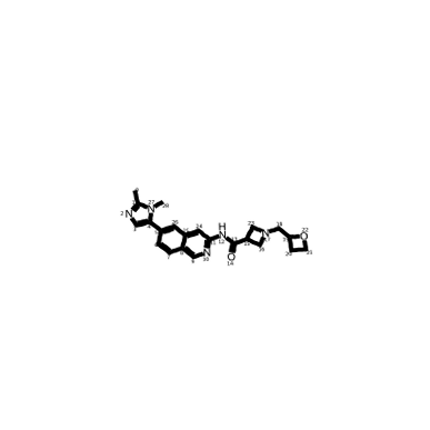 Cc1ncc(-c2ccc3cnc(NC(=O)C4CN(CC5CCO5)C4)cc3c2)n1C